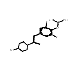 CCCC1CCC(C(C)Cc2cc(F)c(OB(O)O)c(F)c2)CC1